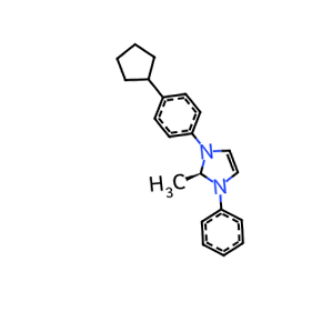 C[C@@H]1N(c2ccccc2)C=CN1c1ccc(C2CCCC2)cc1